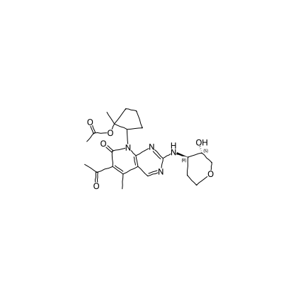 CC(=O)OC1(C)CCCC1n1c(=O)c(C(C)=O)c(C)c2cnc(N[C@@H]3CCOC[C@H]3O)nc21